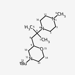 CN1CCN(C(C)(C)CC2CN(C(C)(C)C)CCO2)CC1